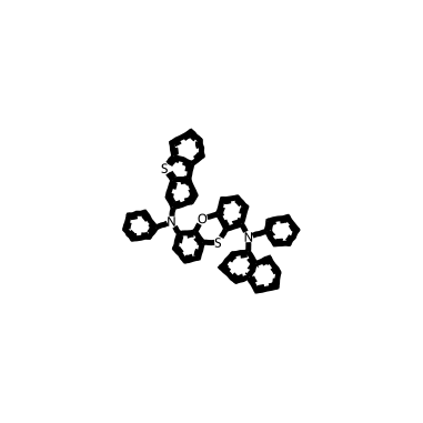 c1ccc(N(c2ccc3c(c2)sc2ccccc23)c2cccc3c2Oc2cccc(N(c4ccccc4)c4cccc5ccccc45)c2S3)cc1